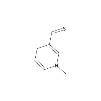 CN1C=CCC(C=S)=C1